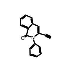 C#Cc1cc2ccccc2c(=O)n1-c1ccccc1